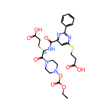 CCOC(=O)ON1CCN(C(=O)[C@H](CCC(=O)O)NC(=O)c2cc(SCCC(=O)O)nc(-c3ccccc3)n2)CC1